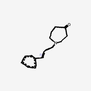 O=C1CCCN(C/C=C/c2ccccc2)CC1